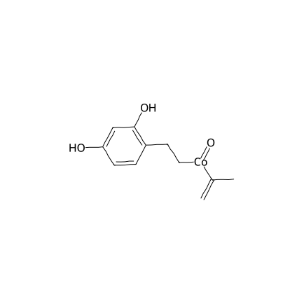 C=[C](C)[Co](=[O])[CH2]Cc1ccc(O)cc1O